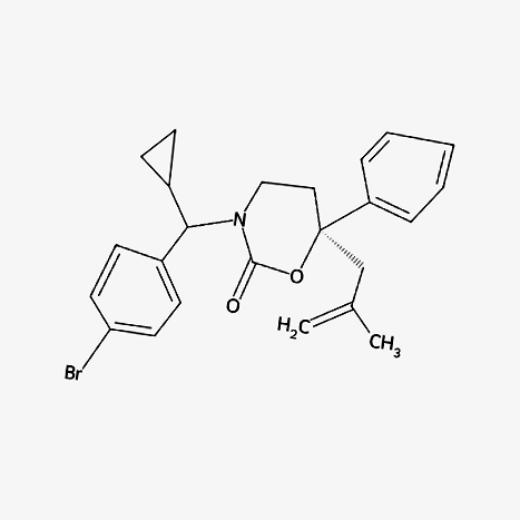 C=C(C)C[C@@]1(c2ccccc2)CCN(C(c2ccc(Br)cc2)C2CC2)C(=O)O1